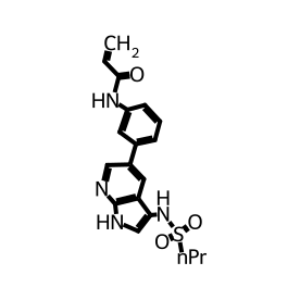 C=CC(=O)Nc1cccc(-c2cnc3[nH]cc(NS(=O)(=O)CCC)c3c2)c1